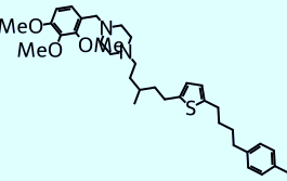 COc1ccc(CN2CCN(CCC(C)CCc3ccc(CCCCc4ccc(C)cc4)s3)CC2)c(OC)c1OC